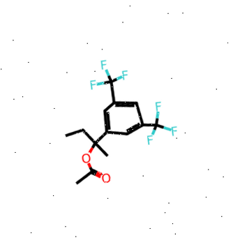 CCC(C)(OC(C)=O)c1cc(C(F)(F)F)cc(C(F)(F)F)c1